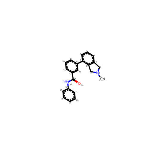 N#CN1Cc2cccc(-c3cccc(C(=O)Nc4ccccc4)c3)c2C1